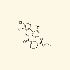 CCOC(=O)C1CCCN(C(=O)/C=C/c2c(-c3ccccc3C(C)C)c[c]c(Cl)c2Cl)C1